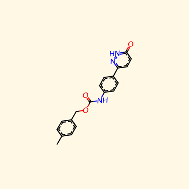 Cc1ccc(COC(=O)Nc2ccc(-c3ccc(=O)[nH]n3)cc2)cc1